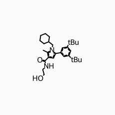 Cc1c(C(=O)NCCO)cc(-c2cc(C(C)(C)C)cc(C(C)(C)C)c2)n1CC1CCCCC1